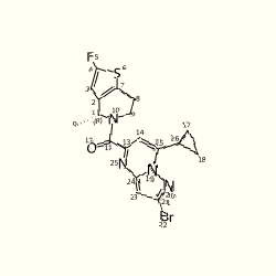 C[C@@H]1c2cc(F)sc2CCN1C(=O)c1cc(C2CC2)n2nc(Br)cc2n1